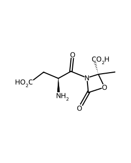 C[C@@]1(C(=O)O)OC(=O)N1C(=O)[C@@H](N)CC(=O)O